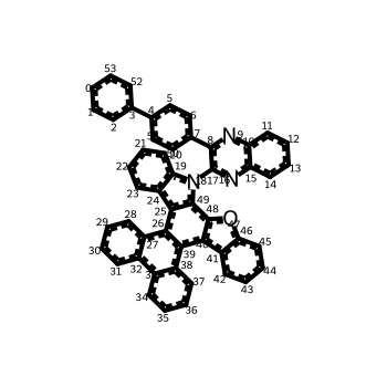 c1ccc(-c2ccc(-c3nc4ccccc4nc3-n3c4ccccc4c4c5c6ccccc6c6ccccc6c5c5c6ccccc6oc5c43)cc2)cc1